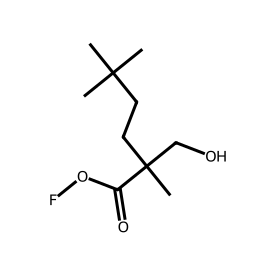 CC(C)(C)CCC(C)(CO)C(=O)OF